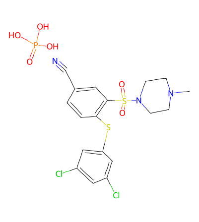 CN1CCN(S(=O)(=O)c2cc(C#N)ccc2Sc2cc(Cl)cc(Cl)c2)CC1.O=P(O)(O)O